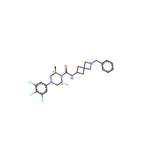 C[C@@H]1CN(c2cc(F)c(F)c(F)c2)C[C@@H](C)N1C(=O)NC1CC2(C1)CN(Cc1ccccc1)C2